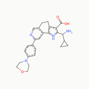 NC(c1[nH]c2c(c1C(=O)O)CCc1cnc(-c3ccc(N4CCOCC4)cc3)cc1-2)C1CC1